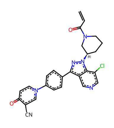 C=CC(=O)N1CCC[C@@H](n2nc(-c3ccc(-n4ccc(=O)c(C#N)c4)cc3)c3cncc(Cl)c32)C1